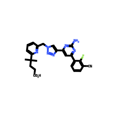 CC(C)(CCC(=O)O)c1cccc(Cn2cc(-c3cc(-c4cccc(C#N)c4F)nc(N)n3)nn2)n1